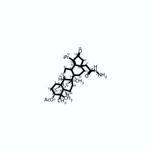 CC(=O)O[C@H]1CC[C@]2(C)[C@H]3CCC4C5=C(C(C)C)C(=O)CC5(CC(=O)NN)CC[C@@]4(C)[C@]3(C)CC[C@H]2C1(C)C